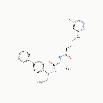 Cc1ccnc(NCCCC(=O)NCC(=O)NC(CC(=O)O)c2ccc(-c3ccccc3)cc2)c1.[NaH]